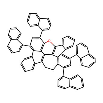 c1ccc2c(-c3cc(-c4cccc5ccccc45)c4c5c3CCc3c6c7c(c(-c8cccc9ccccc89)cc(-c8cccc9ccccc89)c7c7ccccc37)Oc(c5-6)c3ccccc34)cccc2c1